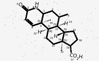 CC1CC2NC(=O)C=C[C@]2(C)[C@@H]2CC[C@]3(C)C(C(=O)O)CC[C@H]3[C@H]12